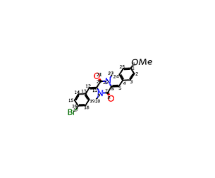 COc1ccc(/C=c2/c(=O)n(C)/c(=C\c3ccc(Br)cc3)c(=O)n2C)cc1